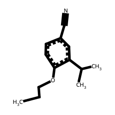 CCCOc1ccc(C#N)cc1[C](C)C